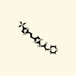 C[Si](C)(C)c1cnc(/C=C/c2cnc(NC(=O)CN3CCOCC3)s2)o1